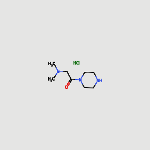 CN(C)CC(=O)N1CCNCC1.Cl